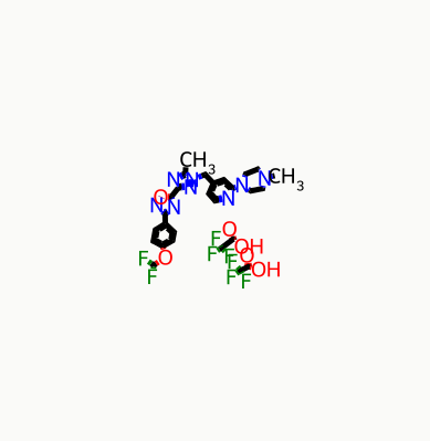 Cc1nc(-c2nc(-c3ccc(OC(F)F)cc3)no2)nn1Cc1ccnc(N2CCN(C)CC2)c1.O=C(O)C(F)(F)F.O=C(O)C(F)(F)F